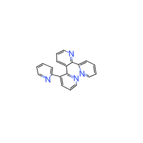 c1ccc(-c2cccnc2-c2cccnc2-c2ccccn2)nc1